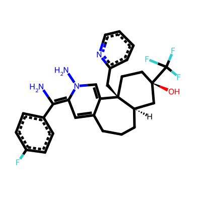 N/C(=C1/C=C2CCC[C@@H]3C[C@@](O)(C(F)(F)F)CC[C@@]3(Cc3ccccn3)C2=CN1N)c1ccc(F)cc1